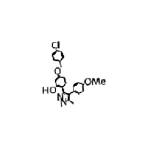 COc1ccc(-c2c(-c3ccc(OCc4ccc(Cl)cc4)cc3O)nn(C)c2C)cc1